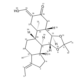 C/C=C1\CC[C@H]2[C@@H]3[C@H]4OC(C)(C)O[C@@H]4[C@H]4CC(=O)/C(=C/O)C[C@]4(C)[C@H]3CC[C@]12C